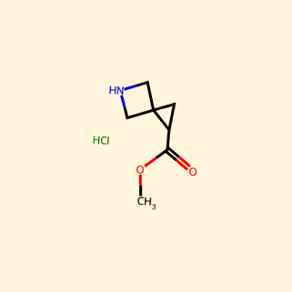 COC(=O)C1CC12CNC2.Cl